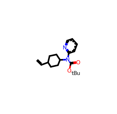 C=CC1CCC(N(C(=O)OC(C)(C)C)c2ccccn2)CC1